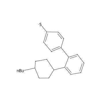 CCCCC1CCC(c2ccccc2-c2ccc([S])cc2)CC1